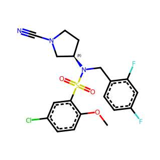 COc1ccc(Cl)cc1S(=O)(=O)N(Cc1ccc(F)cc1F)[C@@H]1CCN(C#N)C1